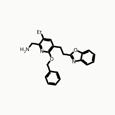 CCc1cc(CCc2nc3ccccc3o2)c(OCc2ccccc2)nc1CN